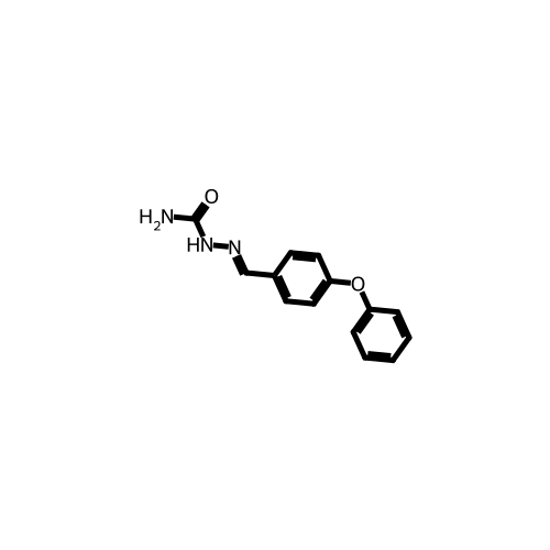 NC(=O)N/N=C/c1ccc(Oc2ccccc2)cc1